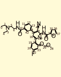 CCN(CC)CCNC(=O)c1cccc(-c2cc(-c3ccc(F)cc3OCOC)nc(NC(=O)c3ccco3)c2C#N)c1